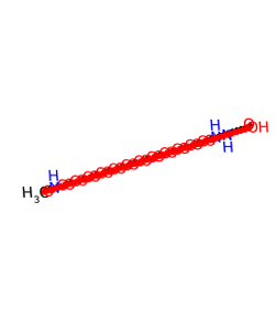 CCOCCNCCCOCCOCCOCCOCCOCCOCCOCCOCCOCCOCCOCCOCCOCCOCCOCCOCCOCCOCCOCCOCCOCCOCCOCCOCCNCCCCNCCCCCCCCCCC(=O)O